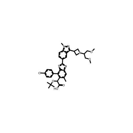 COCC(COC)N1CC(c2nn(C)c3ccc(-c4nc5cc(C)c(C(OC(C)(C)C)C(=O)O)c(-c6ccc(Cl)cc6)c5s4)cc23)C1